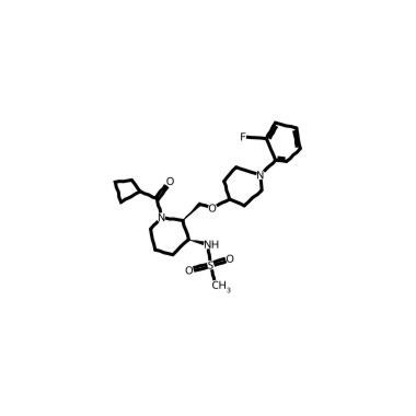 CS(=O)(=O)N[C@H]1CCCN(C(=O)C2CCC2)[C@H]1COC1CCN(c2ccccc2F)CC1